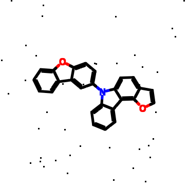 c1ccc2c(c1)oc1ccc(-n3c4ccccc4c4c5occc5ccc43)cc12